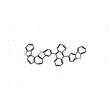 c1ccc2c(c1)oc1ccc3ccc4c5cc(-c6c7ccccc7c(-c7ccc8sc9ccccc9c8c7)c7ccccc67)ccc5sc4c3c12